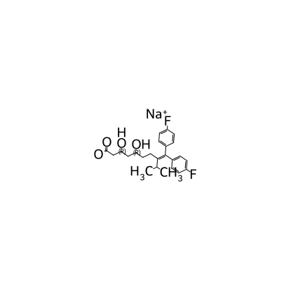 CC(C)C(CC[C@@H](O)C[C@@H](O)CC(=O)[O-])=C(c1ccc(F)cc1)c1ccc(F)cc1.[Na+]